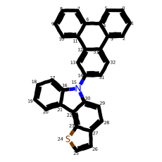 c1ccc2c(c1)c1ccccc1c1cc(-n3c4ccccc4c4c5sccc5ccc43)ccc21